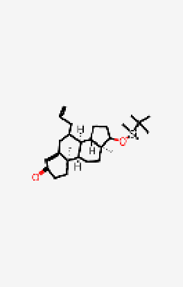 C=CCC1CC2=CC(=O)CC[C@]2(C)[C@@H]2CC[C@]3(C)C(O[Si](C)(C)C(C)(C)C)CC[C@H]3[C@H]12